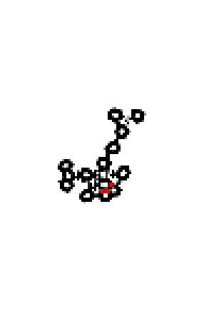 c1ccc(-c2ccccc2N2c3cc(-c4ccc(-c5ccc6c(c5)c5ccccc5n6-c5ccccc5)cc4)ccc3B3c4ccc(-n5c6ccccc6c6ccccc65)cc4N(c4ccccc4-c4ccccc4)c4cccc2c43)cc1